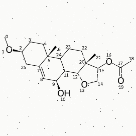 CO[C@H]1CC[C@@]2(C)C(=C[C@H](O)C3C4OCC(OC(C)=O)[C@@]4(C)CCC32)C1